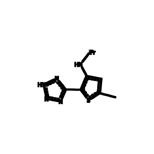 Cc1cc(NC(C)C)c(-c2nn[nH]n2)s1